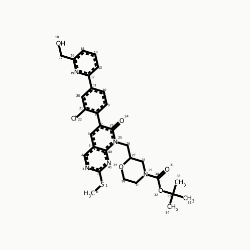 CSc1ncc2cc(-c3ccc(-c4cccc(CO)n4)cc3Cl)c(=O)n(CC3CN(C(=O)OC(C)(C)C)CCO3)c2n1